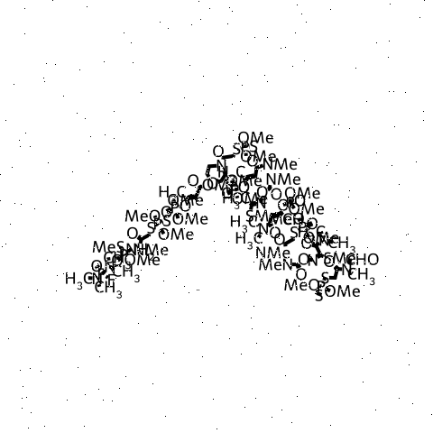 CN(C)P(=O)(F)N(C)C.CNC(=O)/C=C(\C)OP(=O)(OC)OC.CNC(=O)CSP(=O)(OC)OC.CNC(=O)CSP(=S)(OC)OC.CNC(=O)O/N=C(\C)SC.CNC(=O)ON=C(SC)C(=O)N(C)C.COC(=O)/C=C(\C)OP(=O)(OC)OC.COP(=O)(OC)O/C(C)=C/C(=O)N(C)C.COP(=S)(OC)SCC(=O)N(C)C=O.COP(=S)(OC)SCC(=O)N1CCOCC1.COP(N)(=O)SC